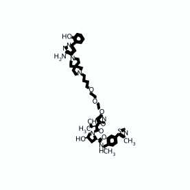 Cc1ncsc1-c1ccc([C@H](C)NC(=O)[C@@H]2C[C@@H](O)CN2C(=O)[C@H](c2cc(OCCOCCOCCCCN3CCC4(CCN(c5cc(-c6ccccc6O)nnc5N)CC4)C3)no2)C(C)C)cc1